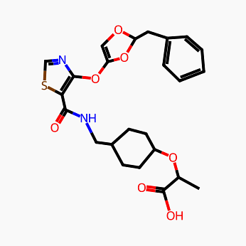 CC(OC1CCC(CNC(=O)c2scnc2OC2=COC(Cc3ccccc3)O2)CC1)C(=O)O